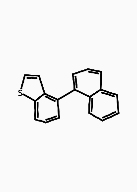 c1ccc2c(-c3cccc4sccc34)cccc2c1